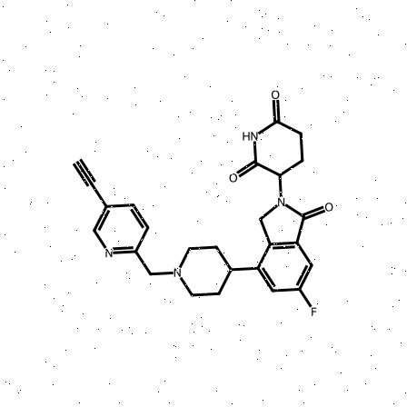 C#Cc1ccc(CN2CCC(c3cc(F)cc4c3CN(C3CCC(=O)NC3=O)C4=O)CC2)nc1